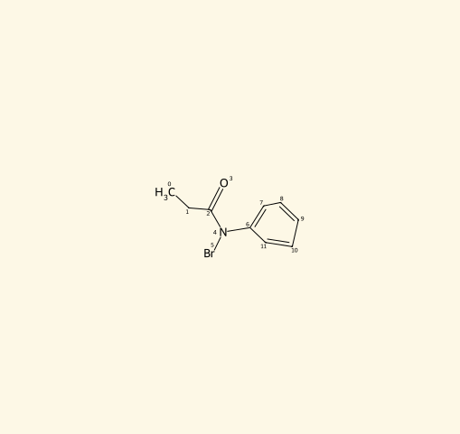 CCC(=O)N(Br)c1ccccc1